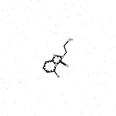 O=c1n(CCO)nc2cccc(Br)n12